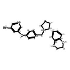 Brc1cncc(Oc2ccc(CN3CCC[C@@H]3c3ccc4c(c3)OCCO4)cc2)c1